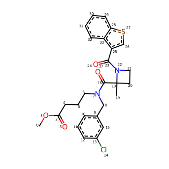 COC(=O)CCCN(Cc1cccc(Cl)c1)C(=O)C1(C)CCN1C(=O)c1csc2ccccc12